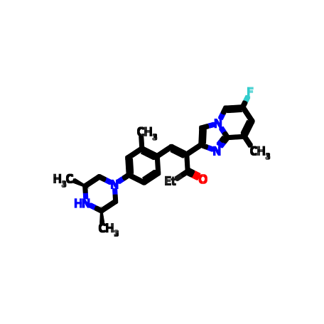 CCC(=O)/C(=C\c1ccc(N2C[C@@H](C)N[C@@H](C)C2)cc1C)c1cn2cc(F)cc(C)c2n1